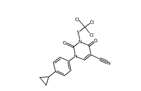 N#Cc1cn(-c2ccc(C3CC3)cc2)c(=O)n(SC(Cl)(Cl)Cl)c1=O